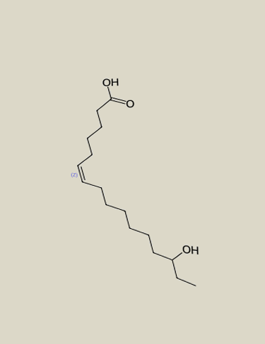 CCC(O)CCCCCC/C=C\CCCCC(=O)O